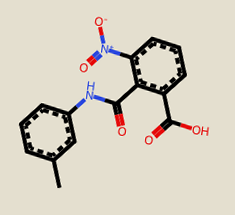 Cc1cccc(NC(=O)c2c(C(=O)O)cccc2[N+](=O)[O-])c1